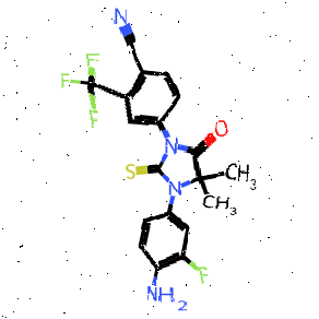 CC1(C)C(=O)N(c2ccc(C#N)c(C(F)(F)F)c2)C(=S)N1c1ccc(N)c(F)c1